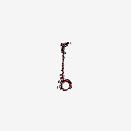 CO[C@H]1C[C@@H]2CC[C@@H](C)[C@@](O)(O2)C(=O)C(=O)N2CCCC[C@H]2C(=O)O[C@H]([C@H](N)C[C@@H]2CC[C@@H](OC(=O)NCCOCCOCCOCCOCCOCCOCCOCCOCCC(=O)N3CCc4nc(Cn5nc(-c6ccc7oc(N)nc7c6)c6c(N)ncnc65)ncc4C3)[C@H](OC)C2)C[C@@H](O)[C@H](C)/C=C(\C)[C@@H](O)[C@@H](O)C(=O)[C@H](C)C[C@H](C)/C=C/C=C/C=C/1C